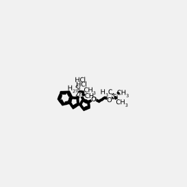 C[Si](C)(C)OCCOC1=[C]([Zr]([CH3])([CH3])(=[SiH2])[CH]2C=Cc3ccccc32)CC=C1.Cl.Cl